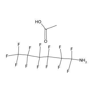 CC(=O)O.NC(F)(F)C(F)(F)C(F)(F)C(F)(F)C(F)(F)C(F)(F)F